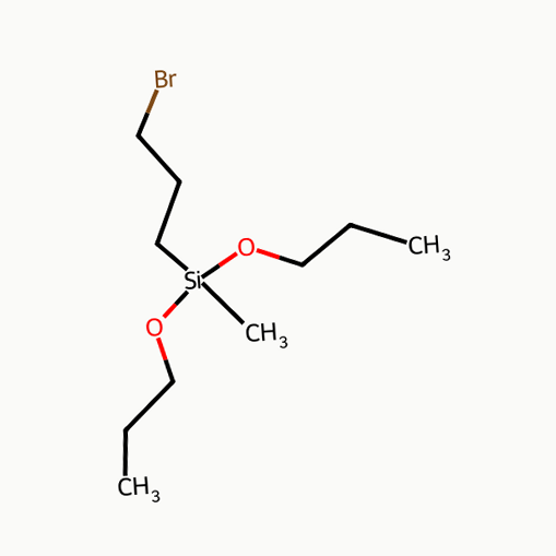 CCCO[Si](C)(CCCBr)OCCC